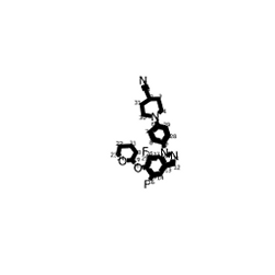 N#CC1CCN(c2ccc(-n3ncc4cc(F)c(OC5CCCCO5)c(F)c43)cc2)CC1